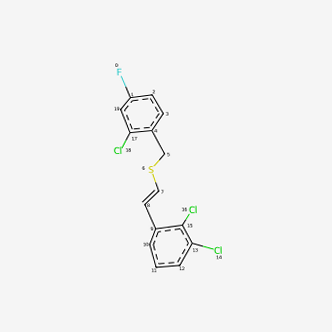 Fc1ccc(CSC=Cc2cccc(Cl)c2Cl)c(Cl)c1